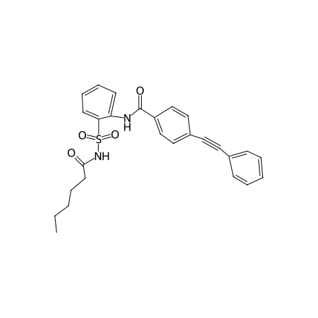 CCCCCC(=O)NS(=O)(=O)c1ccccc1NC(=O)c1ccc(C#Cc2ccccc2)cc1